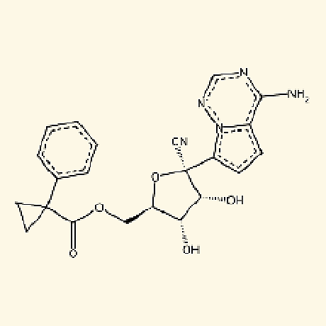 N#C[C@@]1(c2ccc3c(N)ncnn23)O[C@H](COC(=O)C2(c3ccccc3)CC2)[C@@H](O)[C@H]1O